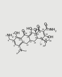 CN(C)c1cc(CN)c(O)c2c1CC1CC3[C@@](O)(C(=O)C(C(N)=O)=C(O)[C@@]3(C)N(C)C)C(O)=C1C2=O